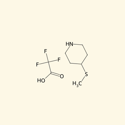 CSC1CCNCC1.O=C(O)C(F)(F)F